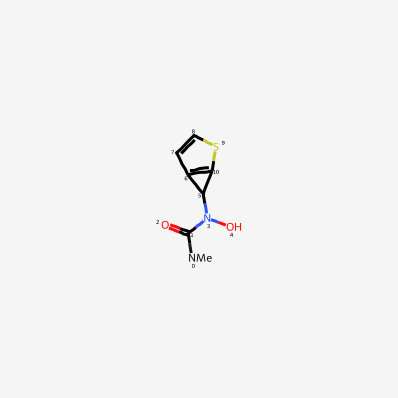 CNC(=O)N(O)C1c2ccsc21